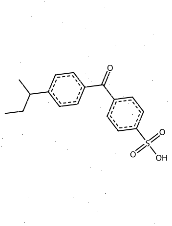 CCC(C)c1ccc(C(=O)c2ccc(S(=O)(=O)O)cc2)cc1